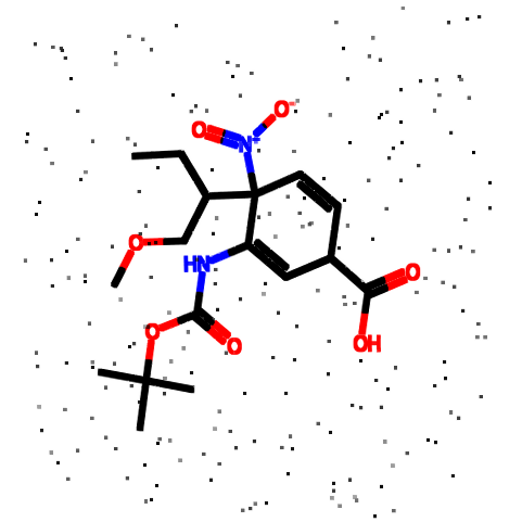 CCC(COC)C1([N+](=O)[O-])C=CC(C(=O)O)C=C1NC(=O)OC(C)(C)C